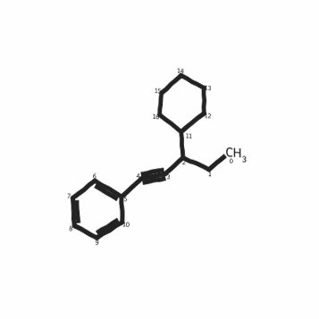 CCC(C#Cc1ccccc1)C1CCCCC1